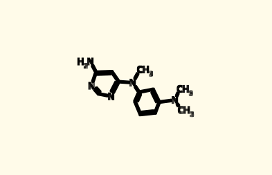 CN(C)c1cccc(N(C)c2cc(N)ncn2)c1